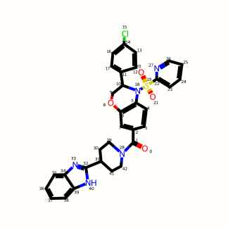 O=C(c1ccc2c(c1)OCC(c1ccc(Cl)cc1)N2S(=O)(=O)c1ccccn1)N1CCC(c2nc3ccccc3[nH]2)CC1